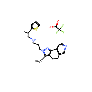 CC(CNCCCn1nc2c(c1C(=O)O)CCc1cnccc1-2)c1cccs1.O=C(O)C(F)(F)F